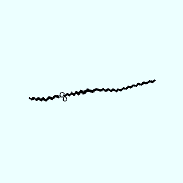 CCCCCCCCCCCCCCCCCCCCCCCCCCCCCCCCCC(=O)OCCCCCCCCCCCC